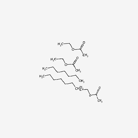 CCCCCCC.CCCCCCC.CCOC(C)=O.CCOC(C)=O.CCOC(C)=O